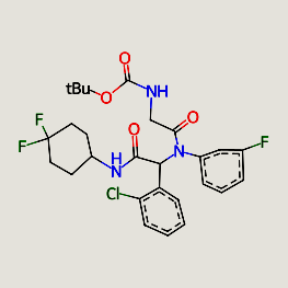 CC(C)(C)OC(=O)NCC(=O)N(c1cccc(F)c1)C(C(=O)NC1CCC(F)(F)CC1)c1ccccc1Cl